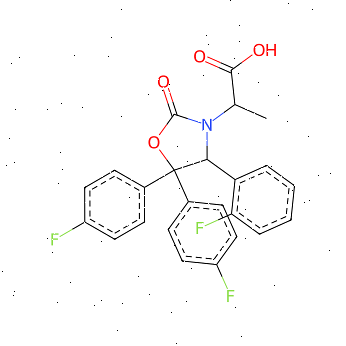 CC(C(=O)O)N1C(=O)OC(c2ccc(F)cc2)(c2ccc(F)cc2)C1c1ccccc1F